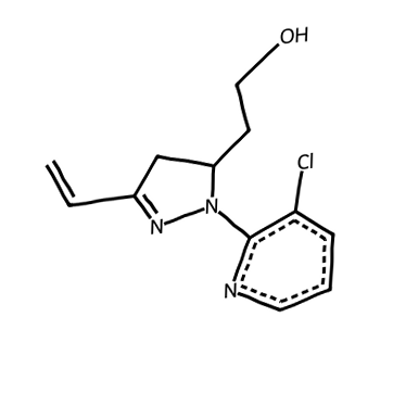 C=CC1=NN(c2ncccc2Cl)C(CCO)C1